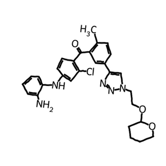 Cc1ccc(-c2cn(CCOC3CCCCO3)nn2)cc1C(=O)c1ccc(Nc2ccccc2N)cc1Cl